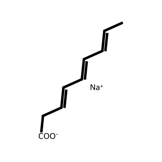 CC=CC=CC=CCC(=O)[O-].[Na+]